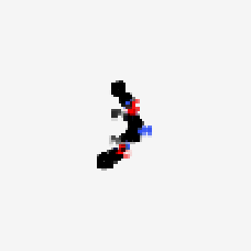 CC(C)C/C(=N\OC(=O)N1CCC(c2ccccc2)CC1)c1ccc2[nH]c3ccc(/C(CC(C)C)=N/OC(=O)N4CCC(c5ccccc5)CC4)cc3c2c1